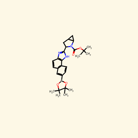 CC(C)(C)OC(=O)N1C(c2nc3ccc4cc(B5OC(C)(C)C(C)(C)O5)ccc4c3[nH]2)CC2CC21